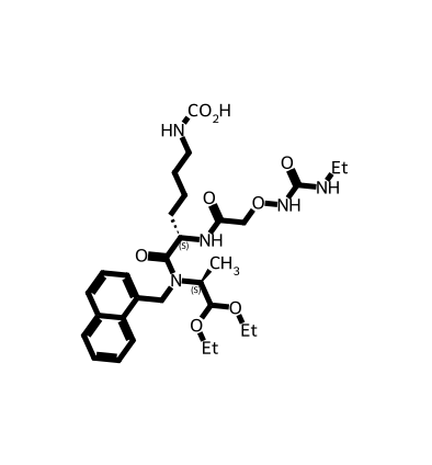 CCNC(=O)NOCC(=O)N[C@@H](CCCCNC(=O)O)C(=O)N(Cc1cccc2ccccc12)[C@@H](C)C(OCC)OCC